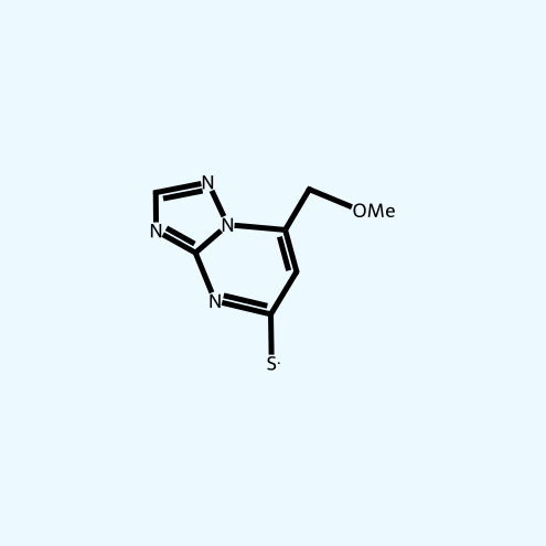 COCc1cc([S])nc2ncnn12